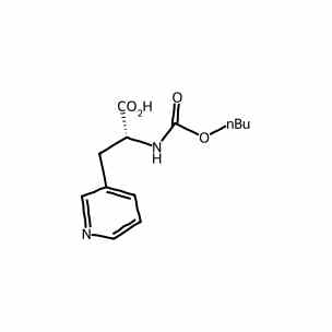 CCCCOC(=O)N[C@H](Cc1cccnc1)C(=O)O